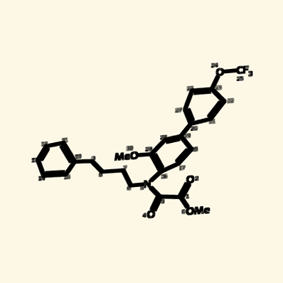 COC(=O)C(=O)N(CCCCc1ccccc1)c1ccc(-c2ccc(OC(F)(F)F)cc2)cc1OC